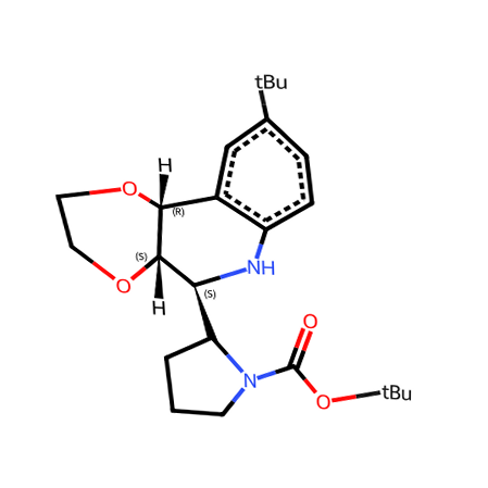 CC(C)(C)OC(=O)N1CCCC1[C@@H]1Nc2ccc(C(C)(C)C)cc2[C@H]2OCCO[C@H]21